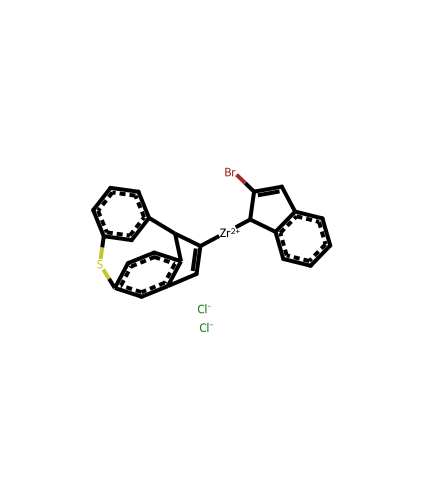 BrC1=Cc2ccccc2[CH]1[Zr+2][C]1=Cc2cc3ccc2C1c1cccc(c1)S3.[Cl-].[Cl-]